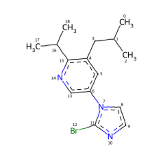 CC(C)Cc1cc(-n2ccnc2Br)cnc1C(C)C